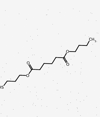 CCCCOC(=O)CCCCC(=O)OCCCS